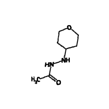 CC(=O)NNC1CCOCC1